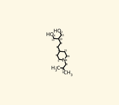 C[C](C)CN1CCC(CCC(CO)CO)CC1